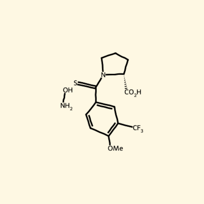 COc1ccc(C(=S)N2CCC[C@@H]2C(=O)O)cc1C(F)(F)F.NO